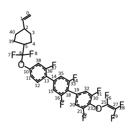 C=CC1CCC(C(F)(F)Oc2ccc(-c3cc(F)c(-c4cc(F)c(OC(F)=C(F)F)c(F)c4)c(F)c3)c(F)c2)CC1